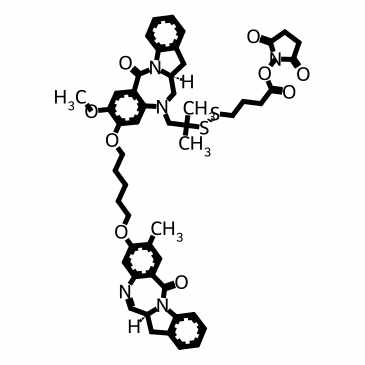 COc1cc2c(cc1OCCCCCOc1cc3c(cc1C)C(=O)N1c4ccccc4C[C@H]1C=N3)N(CC(C)(C)SSCCCC(=O)ON1C(=O)CCC1=O)C[C@@H]1Cc3ccccc3N1C2=O